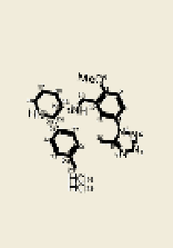 COc1ccc(-n2nnnc2C)cc1CN[C@H]1CCCN[C@H]1c1ccc(C)cc1.Cl.Cl